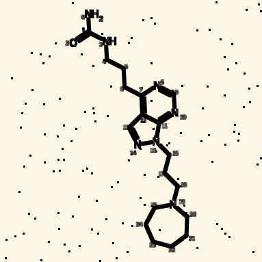 NC(=O)NCCCc1ncnc2c1cnn2CCCN1CCCCCC1